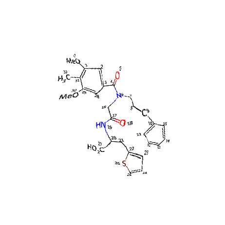 COc1cc(C(=O)N(CCCc2ccccc2)CC(=O)NC(Cc2cccs2)C(=O)O)cc(OC)c1C